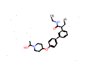 CC(C)CC(C(=O)NCC#N)c1cccc(-c2ccc(OC3CCN(C(C)O)CC3)cc2)c1